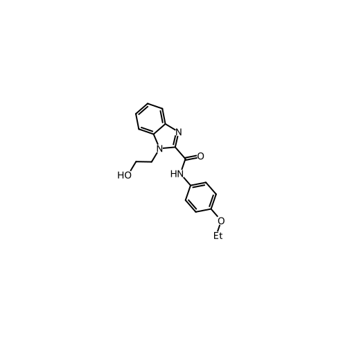 CCOc1ccc(NC(=O)c2nc3ccccc3n2CCO)cc1